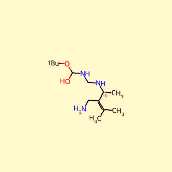 CC(C)=C(CN)[C@H](C)NCNC(O)OC(C)(C)C